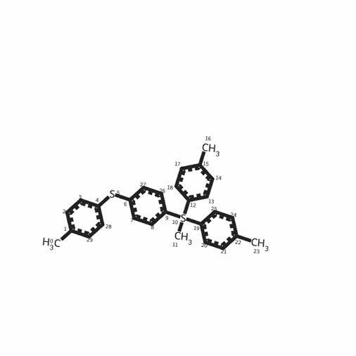 Cc1ccc(Sc2ccc(S(C)(c3ccc(C)cc3)c3ccc(C)cc3)cc2)cc1